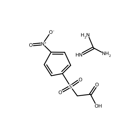 N=C(N)N.O=C(O)CS(=O)(=O)c1ccc([N+](=O)[O-])cc1